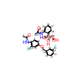 CC(=O)Nc1ccc(OCc2cccc(F)c2)cc1F.CC(=O)Nc1ccccc1[As](=O)(O)OO